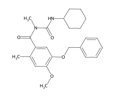 COc1cc(C)c(C(=O)N(C)C(=O)NC2CCCCC2)cc1OCc1ccccc1